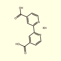 O=C(O)c1ccnc(-c2cc(C(=O)O)ccn2)c1.[KH]